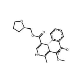 COC(=O)C1=C(C)NC=C(C(=O)OC[C@H]2CCCO2)[C@@H]1c1ccccc1[N+](=O)[O-]